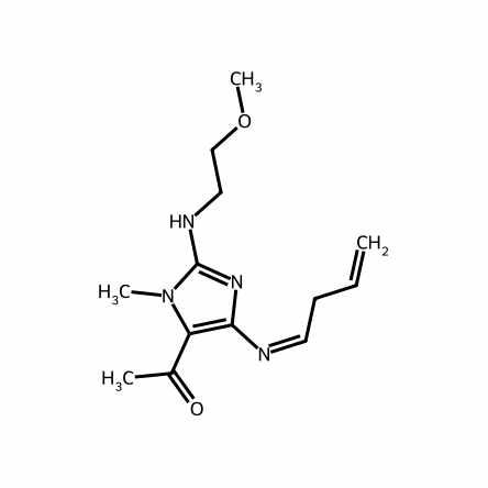 C=CC/C=N\c1nc(NCCOC)n(C)c1C(C)=O